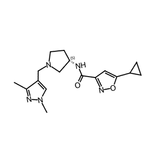 Cc1nn(C)cc1CN1CC[C@H](NC(=O)c2cc(C3CC3)on2)C1